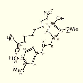 CCCCCCCCC(=O)O.COc1cc(COCc2ccc(O)c(OC)c2)ccc1O